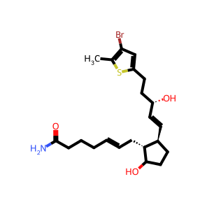 Cc1sc(CC[C@H](O)C=C[C@H]2CCC(O)[C@@H]2CC=CCCCC(N)=O)cc1Br